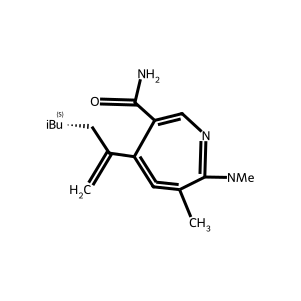 C=C(C[C@@H](C)CC)C1=C=C(C)C(NC)=NC=C1C(N)=O